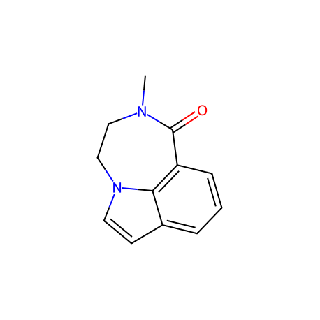 CN1CCn2ccc3cccc(c32)C1=O